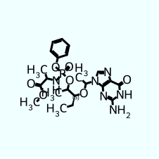 CC[C@H](OC(C)n1cnc2c(=O)[nH]c(N)nc21)C(C)OP(=O)(NC(C)C(=O)OC)Oc1ccccc1